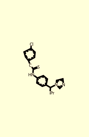 CC(C)C(c1ccc(NC(=S)Cc2ccc(Cl)cc2)cc1)n1ccnc1